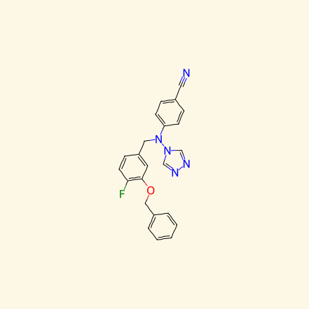 N#Cc1ccc(N(Cc2ccc(F)c(OCc3ccccc3)c2)n2cnnc2)cc1